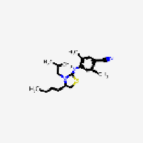 CCCCC1CS/C(=N\c2cc(C)c(C#N)cc2C)N1CC(C)C